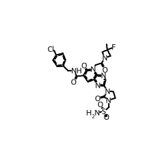 CC1(F)CN(C(=O)Cn2c(=O)c(C(=O)NCc3ccc(Cl)cc3)cc3nc(N4CCN(CS(N)(=O)=O)C4=O)cnc32)C1